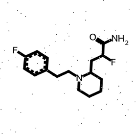 NC(=O)C(F)[CH]C1CCCCN1CCc1ccc(F)cc1